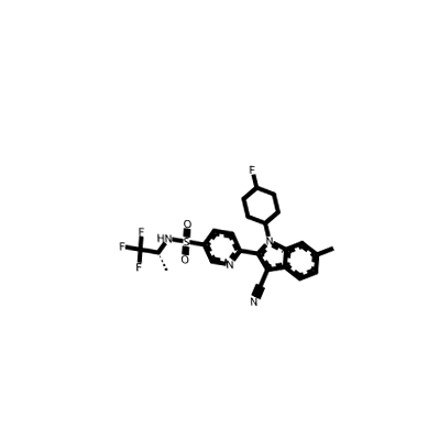 Cc1ccc2c(C#N)c(-c3ccc(S(=O)(=O)N[C@H](C)C(F)(F)F)cn3)n(C3CCC(F)CC3)c2c1